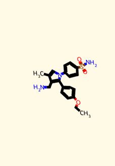 CCOc1ccc(-c2c(CN)c(C)cn2-c2ccc(S(N)(=O)=O)cc2)cc1